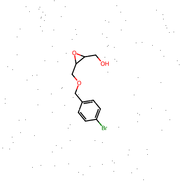 OCC1OC1COCc1ccc(Br)cc1